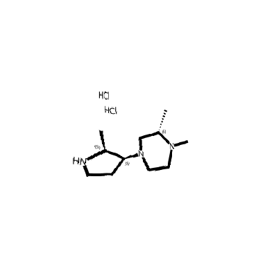 C[C@@H]1NCC[C@@H]1N1CCN(C)[C@@H](C)C1.Cl.Cl